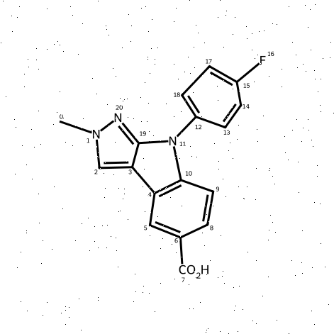 Cn1cc2c3cc(C(=O)O)ccc3n(-c3ccc(F)cc3)c2n1